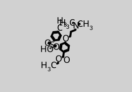 CCOC(=O)c1ccc(OCCCN(C)C)cc1.Cc1ccc(S(=O)(=O)O)cc1